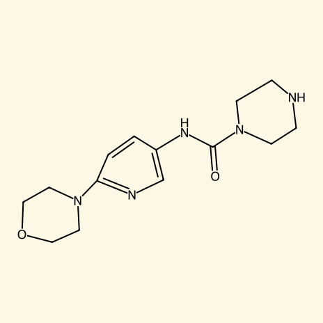 O=C(Nc1ccc(N2CCOCC2)nc1)N1CCNCC1